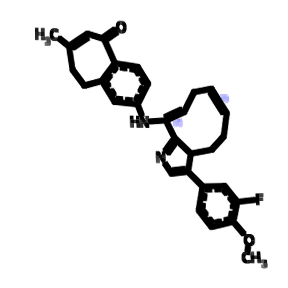 COc1ccc(C2=CN=C3/C(Nc4ccc5c(c4)CCC(C)=CC5=O)=C/C/C=C\CCC23)cc1F